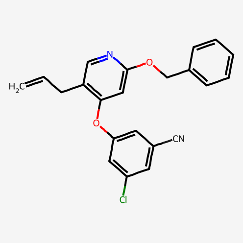 C=CCc1cnc(OCc2ccccc2)cc1Oc1cc(Cl)cc(C#N)c1